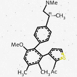 CNC[C@H](C)c1ccc(-c2c(OC)cc(C)c(C)c2-c2ccsc2C(C)=O)cc1